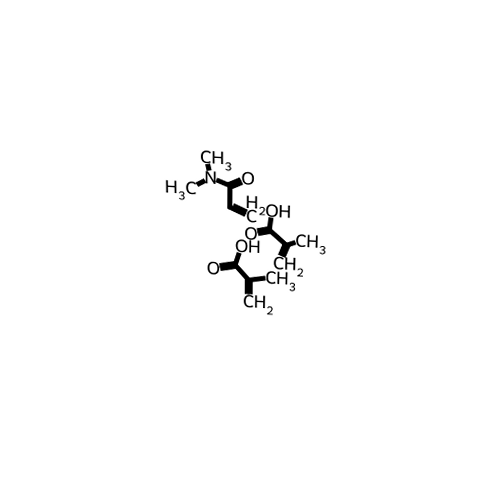 C=C(C)C(=O)O.C=C(C)C(=O)O.C=CC(=O)N(C)C